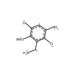 COc1c(Cl)cc(N)c(Cl)c1CN